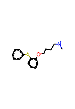 CN(C)CCCCOc1ccccc1Sc1ccccc1